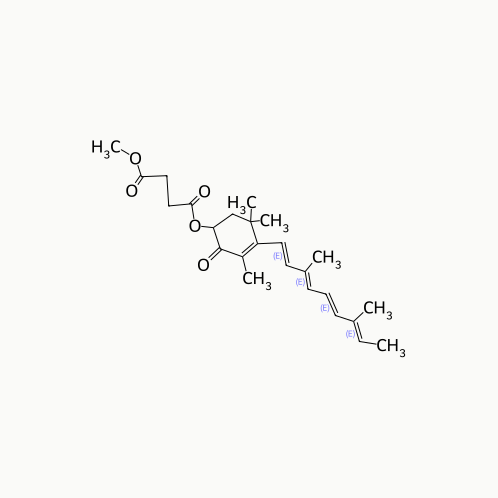 C/C=C(C)/C=C/C=C(C)/C=C/C1=C(C)C(=O)C(OC(=O)CCC(=O)OC)CC1(C)C